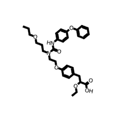 CCCOCCCN(CCOc1ccc(CC(OCC)C(=O)O)cc1)C(=O)Nc1ccc(Oc2ccccc2)cc1